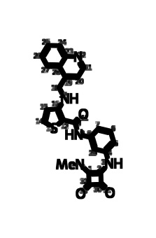 CNc1c(Nc2cccc(NC(=O)c3sccc3NCc3ccnc4ccccc34)c2)c(=O)c1=O